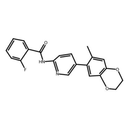 Cc1cc2c(cc1-c1ccc(NC(=O)c3ccccc3F)nc1)OCCO2